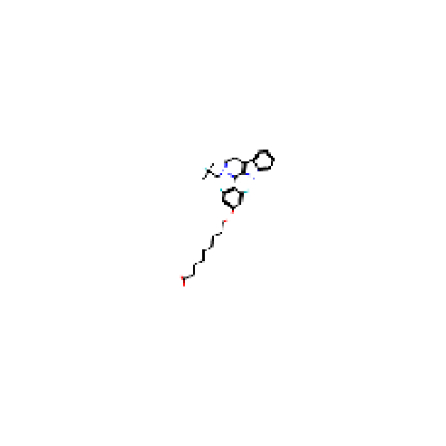 C[C@@H]1Cc2c([nH]c3ccccc23)[C@@H](c2c(F)cc(OCCCCCCCCC(=O)O)cc2F)N1CC(C)(C)F